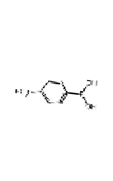 O=C(O)c1ccc(P(O)O)cc1